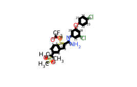 CC(C)(c1ccc2c(c1)C=C(C(N)=Nc1cc(Cl)cc(Oc3ccc(Cl)cc3)c1)[SH]2OC(=O)C(F)(F)F)S(C)(=O)=O